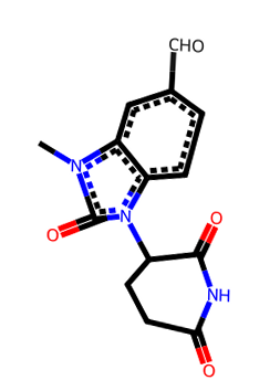 Cn1c(=O)n(C2CCC(=O)NC2=O)c2ccc(C=O)cc21